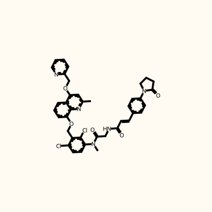 Cc1cc(OCc2ccccn2)c2cccc(OCc3c(Cl)ccc(N(C)C(=O)CNC(=O)/C=C/c4ccc(N5CCCC5=O)cc4)c3Cl)c2n1